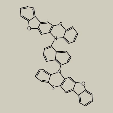 c1ccc2c(c1)Sc1cc3c(cc1N2c1cccc2c(N4c5ccccc5Sc5cc6c(cc54)oc4ccccc46)cccc12)oc1ccccc13